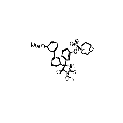 COC1C=CC=C(C2=CC=CC(C3(c4cccc(OS(=O)(=O)N5CCOCC5)c4)NC(=S)N(C)C3=O)C2)C1